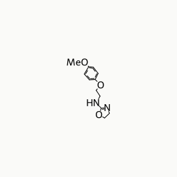 COc1ccc(OCCNC2=NCCO2)cc1